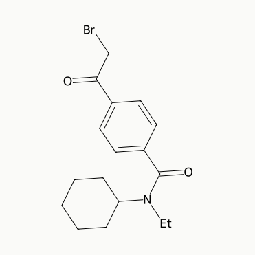 CCN(C(=O)c1ccc(C(=O)CBr)cc1)C1CCCCC1